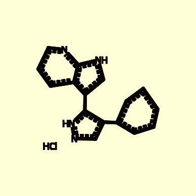 Cl.c1ccc(-c2cn[nH]c2-c2c[nH]c3ncccc23)cc1